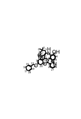 CC1(C)CC2=C(C(C3=C(F)C=C(OCC4=CCCC=C4)CC3)N(C(=O)c3cccnn3)c3cccc(O)c3N2)S(=O)(=O)C1